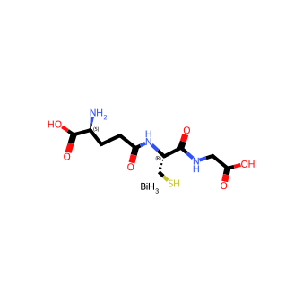 N[C@@H](CCC(=O)N[C@@H](CS)C(=O)NCC(=O)O)C(=O)O.[BiH3]